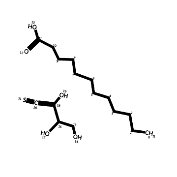 CCCCCCCCCCCC(=O)O.OCC(O)C(O)=C=S